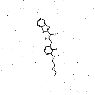 CCOCCOc1cccc(CNC(=O)c2nc3ccccc3s2)c1F